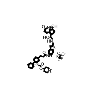 C[N+]1(C)CCC(OC(=O)Nc2cc(CCC(=O)Nc3ccc4sc(CNC[C@H](O)c5ccc(O)c6[nH]c(=O)ccc56)cc4c3)ccc2-c2ccccc2)CC1.O=C([O-])C(F)(F)F